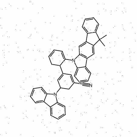 CC1(C)c2ccccc2-c2cc3c(cc21)c1ccccc1n3C1=CC=CCC1C1=CC(n2c3ccccc3c3ccccc32)CC(C#N)=C1